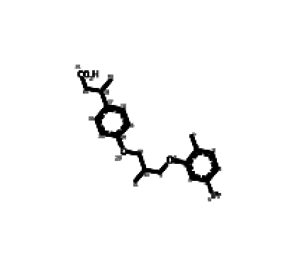 Cc1ccc(C(C)C)cc1OCC(C)COc1ccc(C(C)CC(=O)O)cc1